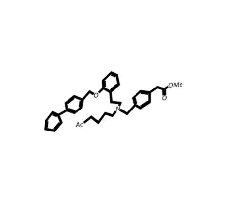 COC(=O)Cc1ccc(CN(CCCCC(C)=O)CCc2ccccc2OCc2ccc(-c3ccccc3)cc2)cc1